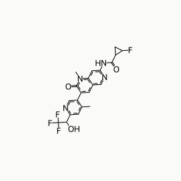 Cc1cc(C(O)C(F)(F)F)ncc1-c1cc2cnc(NC(=O)C3CC3F)cc2n(C)c1=O